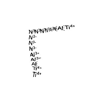 [Al+3].[Al+3].[Al+3].[Al].[Al].[Al].[N-3].[N-3].[N-3].[N-3].[N-3].[N-3].[N-3].[Ti+4].[Ti+4].[Ti+4]